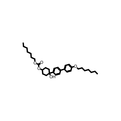 CCCCCCCOC(=O)OC1CCC(O)(c2ccc(-c3ccc(OCCCCCCC)cc3)cc2)CC1